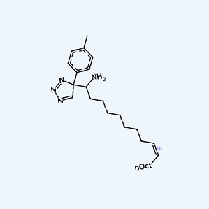 CCCCCCCC/C=C\CCCCCCCC(N)C1(c2ccc(C)cc2)C=NN=N1